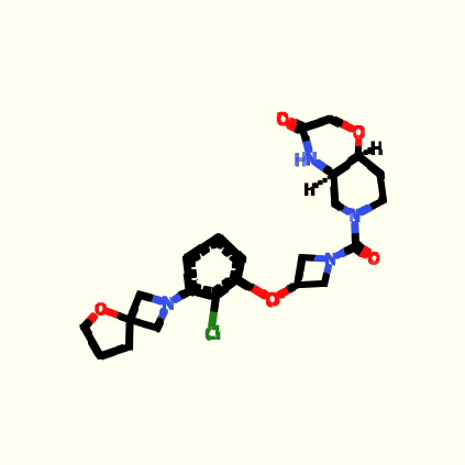 O=C1CO[C@H]2CCN(C(=O)N3CC(Oc4cccc(N5CC6(CCCO6)C5)c4Cl)C3)C[C@H]2N1